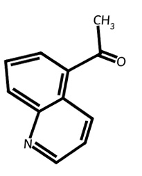 CC(=O)c1cccc2ncccc12